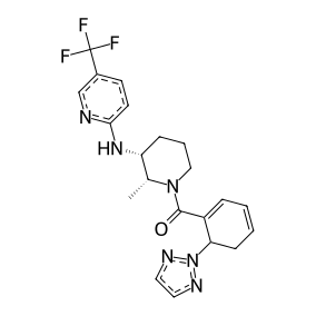 C[C@@H]1[C@H](Nc2ccc(C(F)(F)F)cn2)CCCN1C(=O)C1=CC=CCC1n1nccn1